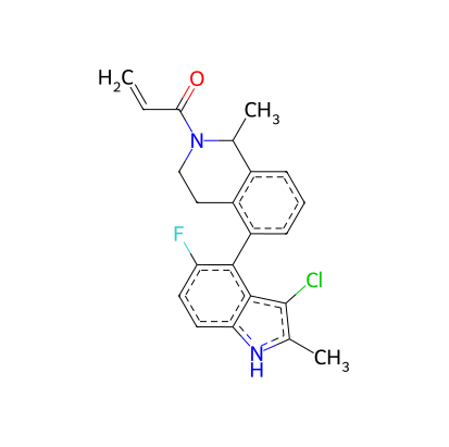 C=CC(=O)N1CCc2c(-c3c(F)ccc4[nH]c(C)c(Cl)c34)cccc2C1C